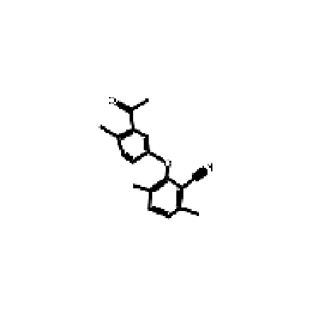 CC(=O)c1cc(Oc2c(C)ccc(C)c2C#N)ccc1C